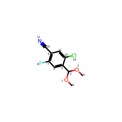 COC(OC)c1cc(F)c(C#N)cc1Cl